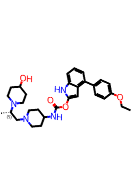 CCOc1ccc(-c2cccc3[nH]c(OC(=O)NC4CCN(C[C@H](C)N5CCC(O)CC5)CC4)cc23)cc1